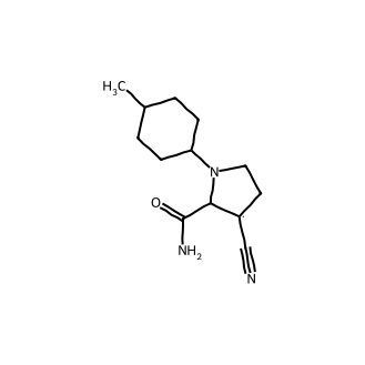 CC1CCC(N2CC[C](C#N)C2C(N)=O)CC1